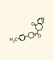 Cc1ccc(C2CCN(C(=O)C3CCc4cnccc4C(=O)C3)CC2)cc1